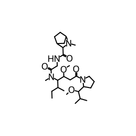 CCC(C)C(C(CC(=O)N1CCCC1C(OC)C(C)C)OC)N(C)C(=O)CNC(=O)C1C2CCC(C2)N1C